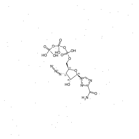 [N-]=[N+]=N[C@H]1[C@@H](O)[C@H](n2cnc(C(N)=O)n2)O[C@@H]1COP(=O)(O)OP(=O)(O)OP(=O)(O)O